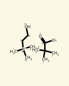 CC(C)(C)C(=O)[O-].C[N+](C)(C)CCO